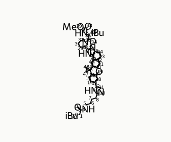 CC[C@H](C)CC(=O)NCCCCC1=NCC(c2ccc3c(c2)Oc2cc4ccc5nc([C@@H]6CCCN6C(=O)[C@@H](NC(=O)OC)[C@@H](C)CC)[nH]c5c4cc2C32CC2)N1